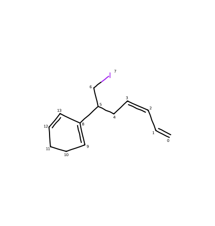 C=C/C=C\CC(CI)C1=CCCC=C1